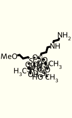 COCCC[Si](C)(O[Si](C)(C)O)O[Si@](C)(CCCNCCN)O[Si](C)(C)O[Si](C)(C)O